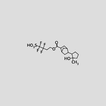 CC1(O)CCCC1C1CC2CC1CC2C(=O)OCCC(F)(F)C(F)(F)S(=O)(=O)O